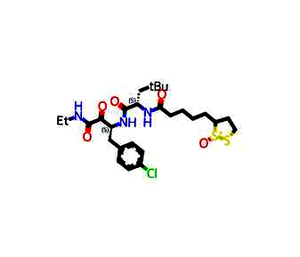 CCNC(=O)C(=O)[C@H](Cc1ccc(Cl)cc1)NC(=O)[C@H](CC(C)(C)C)NC(=O)CCCCC1CCS[S+]1[O-]